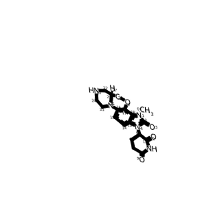 Cn1c(=O)n(C2CCC(=O)NC2=O)c2ccc3c(c21)OC[C@H]1CNCCN31